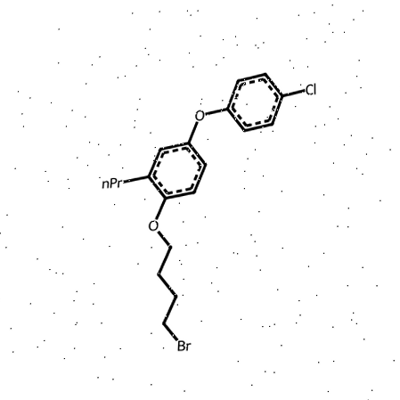 CCCc1cc(Oc2ccc(Cl)cc2)ccc1OCCCCBr